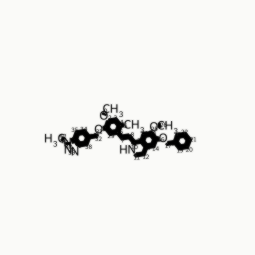 COc1cc(C)c(/C=C/C2NCCc3cc(OCc4ccccc4)c(OC)cc32)cc1OCc1ccc2c(c1)nnn2C